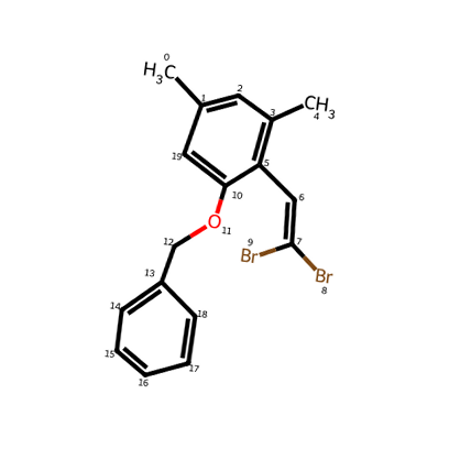 Cc1cc(C)c(C=C(Br)Br)c(OCc2ccccc2)c1